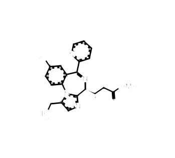 COC(=O)CC[C@@H]1N=C(c2ccccn2)c2cc(Br)ccc2-n2c(CO)cnc21